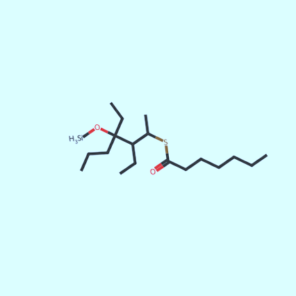 CCCCCCC(=O)SC(C)C(CC)C(CC)(CCC)O[SiH3]